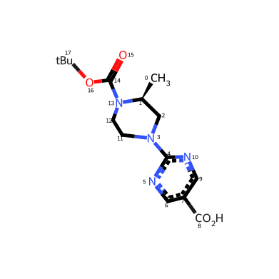 C[C@H]1CN(c2ncc(C(=O)O)cn2)CCN1C(=O)OC(C)(C)C